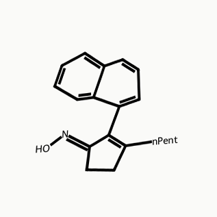 CCCCCC1=C(c2cccc3ccccc23)C(=NO)CC1